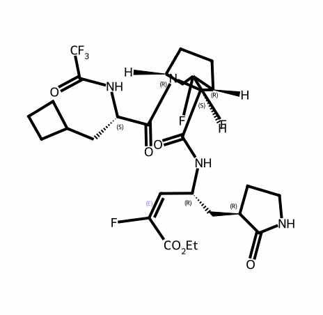 CCOC(=O)/C(F)=C\[C@@H](C[C@H]1CCNC1=O)NC(=O)[C@@H]1[C@H]2CC[C@H](CC2(F)F)N1C(=O)[C@H](CC1CCC1)NC(=O)C(F)(F)F